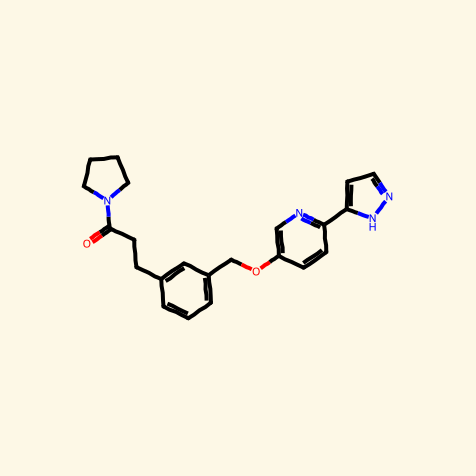 O=C(CCc1cccc(COc2ccc(-c3ccn[nH]3)nc2)c1)N1CCCC1